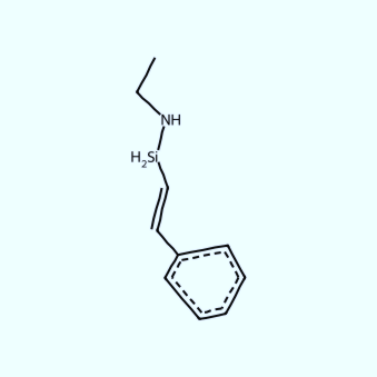 CCN[SiH2]C=Cc1ccccc1